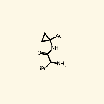 CC(=O)C1(NC(=O)[C@@H](N)C(C)C)CC1